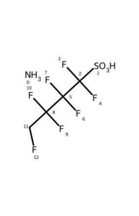 N.O=S(=O)(O)C(F)(F)C(F)(F)C(F)(F)CF